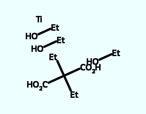 CCC(CC)(C(=O)O)C(=O)O.CCO.CCO.CCO.[Ti]